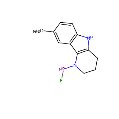 COc1ccc2[nH]c3c(c2c1)N(PF)CCC3